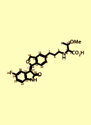 COC(C)C(NCCCc1ccc2c(c1)CO/C2=C1/C(=O)Nc2ccc(F)cc21)C(=O)O